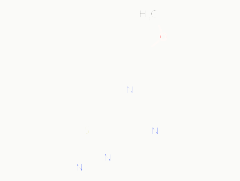 COCc1ccnc(-c2nncs2)n1